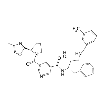 Cc1coc([C@H]2CCCN2C(=O)c2cncc(C(=O)N[C@@H](Cc3ccccc3)[C@H](O)CNCc3cccc(C(F)(F)F)c3)c2)n1